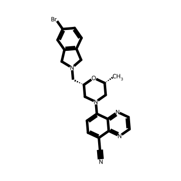 C[C@@H]1CN(c2ccc(C#N)c3nccnc23)C[C@H](CN2Cc3ccc(Br)cc3C2)O1